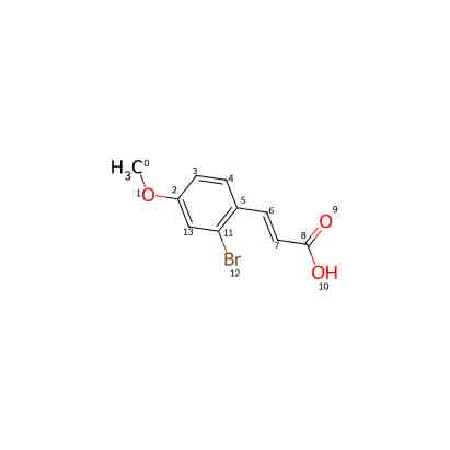 COc1ccc(C=CC(=O)O)c(Br)c1